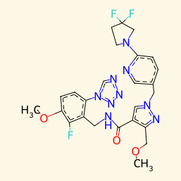 COCc1nn(Cc2ccc(N3CCC(F)(F)C3)nc2)cc1C(=O)NCc1c(-n2cnnn2)ccc(OC)c1F